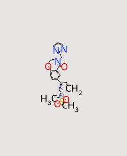 C=C/C(=C\C=C(/C)S(C)(=O)=O)c1ccc2c(c1)C(=O)N(Cc1ncccn1)CCO2